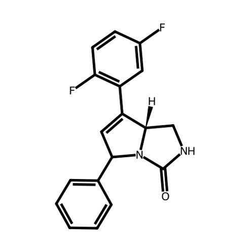 O=C1NC[C@H]2C(c3cc(F)ccc3F)=CC(c3ccccc3)N12